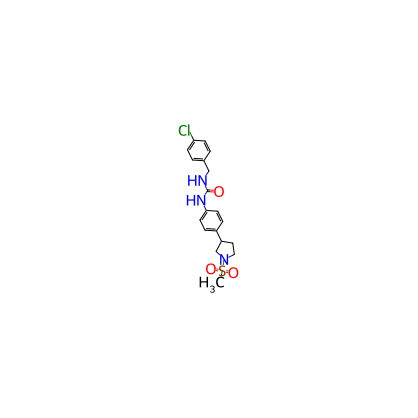 CS(=O)(=O)N1CCC(c2ccc(NC(=O)NCc3ccc(Cl)cc3)cc2)C1